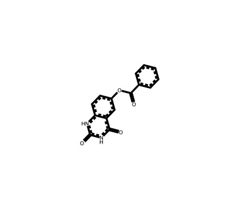 O=C(Oc1ccc2[nH]c(=O)[nH]c(=O)c2c1)c1ccccc1